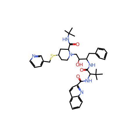 CC(C)(C)NC(=O)C1C[C@H](SCc2cccnc2)CCN1CC(O)C(Cc1ccccc1)NC(=O)C(NC(=O)c1ccc2ccccc2n1)C(C)(C)C